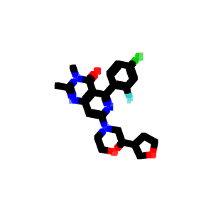 Cc1nc2cc(N3CCOC(C4CCOC4)C3)nc(-c3ccc(Cl)cc3F)c2c(=O)n1C